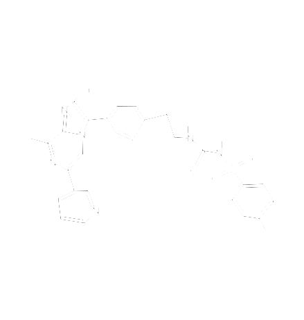 CCc1nc2c(C)nc(-c3cccnc3)cn2c1-c1ccc(CCNC(=O)NS(=O)(=O)c2ccc(C)cc2)cc1